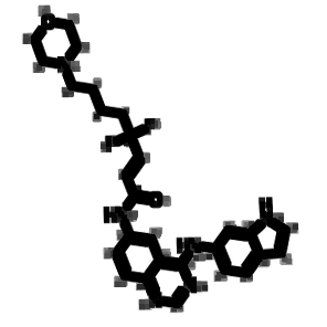 O=C(C=CC(F)(F)CCCCN1CCOCC1)Nc1ccc2ncnc(Nc3ccc4cc[nH]c4c3)c2c1